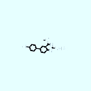 CC(=O)Nc1nc(N(C)C)c2cc(-c3ccc(Cl)cc3)ccc2n1